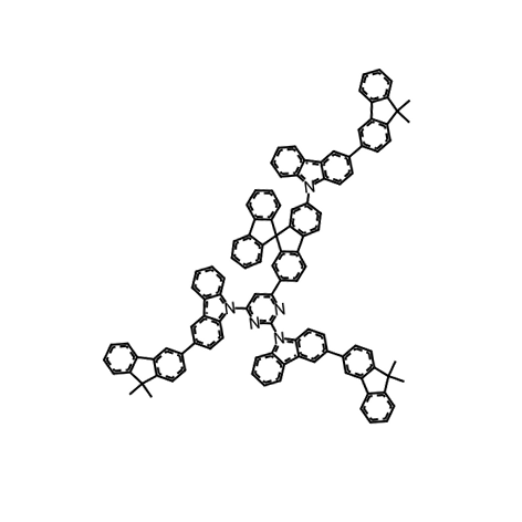 CC1(C)c2ccccc2-c2cc(-c3ccc4c(c3)c3ccccc3n4-c3ccc4c(c3)C3(c5ccccc5-c5ccccc53)c3cc(-c5cc(-n6c7ccccc7c7cc(-c8ccc9c(c8)-c8ccccc8C9(C)C)ccc76)nc(-n6c7ccccc7c7cc(-c8ccc9c(c8)-c8ccccc8C9(C)C)ccc76)n5)ccc3-4)ccc21